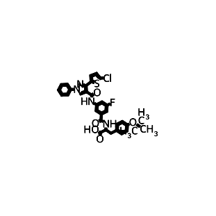 CC(C)(C)Oc1ccc(CC(NC(=O)c2cc(F)cc(NC(=O)c3cn(-c4ccccc4)nc3-c3ccc(Cl)s3)c2)C(=O)O)cc1